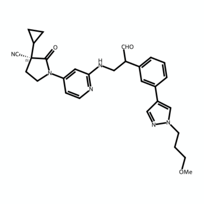 COCCCn1cc(-c2cccc(C(C=O)CNc3cc(N4CC[C@@](C#N)(C5CC5)C4=O)ccn3)c2)cn1